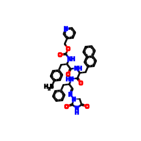 Bc1ccc(CC(NC(=O)OCc2cccnc2)C(=O)NC(Cc2ccc3ccccc3c2)C(=O)NC(C=NN2CC(=O)NC2=O)Cc2ccccc2)cc1